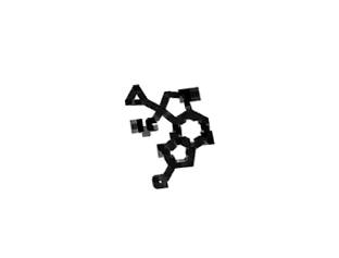 CC1(C2CC2)CNc2cnc3cc(Cl)nn3c21